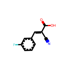 N#C/C(=C\c1cccc(F)c1)C(=O)O